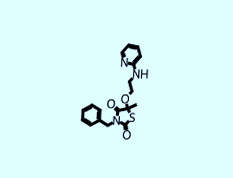 CC1(OCCNc2ccccn2)SC(=O)N(Cc2ccccc2)C1=O